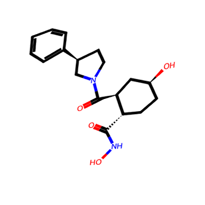 O=C(NO)[C@H]1CC[C@H](O)C[C@@H]1C(=O)N1CC[C@H](c2ccccc2)C1